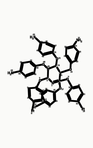 CCc1ccc(OP2N=P(Oc3ccc(CC)cc3)(Oc3ccc(CC)cc3)N(Oc3ccc(N)cc3)P(Oc3ccc(N)cc3)N2Oc2ccc(N)cc2)cc1